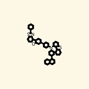 c1ccc(-c2nc3c(ccc4oc5cc(-c6ccc(N(c7ccc(-c8cccc9ccccc89)cc7)c7cccc8sc9ccccc9c78)cc6)ccc5c43)s2)cc1